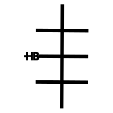 [BH]C(C)(C(C)(C)C)C(C)(C)C